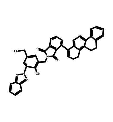 NCc1cc(CN2C(=O)c3cccc(C4=CCCc5c4ccc4c5CCc5ccccc5-4)c3C2=O)c(O)c(-n2nc3ccccc3n2)c1